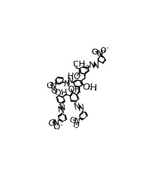 CCc1cc(N=Nc2cccc([N+](=O)[O-])c2)cc(Cc2cc(N=Nc3cccc([N+](=O)[O-])c3)cc(Cc3cc(N=Nc4cccc([N+](=O)[O-])c4)cc(Cc4cc(N=Nc5cccc([N+](=O)[O-])c5)ccc4O)c3O)c2O)c1O